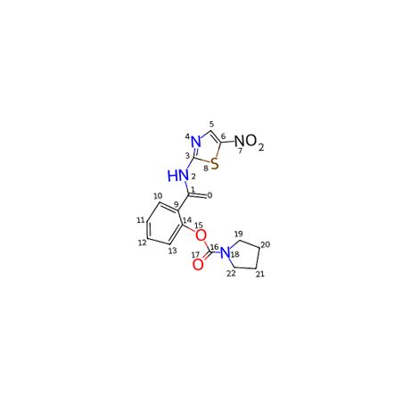 C=C(Nc1ncc([N+](=O)[O-])s1)c1ccccc1OC(=O)N1CCCC1